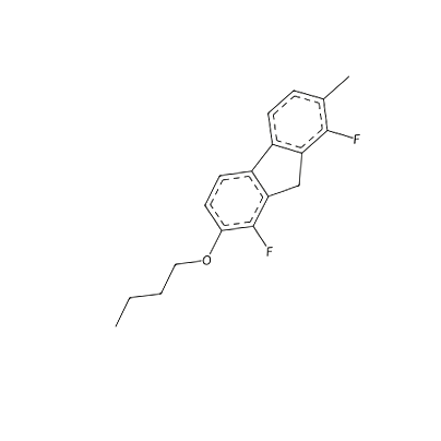 CCCCOc1ccc2c(c1F)Cc1c-2ccc(C)c1F